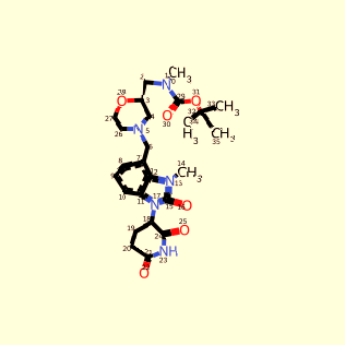 CN(C[C@H]1CN(Cc2cccc3c2n(C)c(=O)n3C2CCC(=O)NC2=O)CCO1)C(=O)OC(C)(C)C